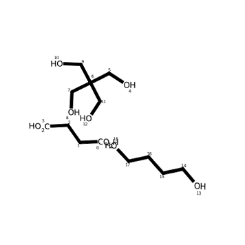 O=C(O)CCC(=O)O.OCC(CO)(CO)CO.OCCCCO